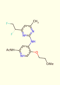 COCCOc1cnc(NC(C)=O)cc1Nc1nc(C)cc([C@H](F)CF)n1